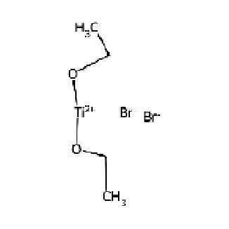 CC[O][Ti+2][O]CC.[Br-].[Br-]